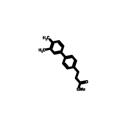 COC(=O)CCc1ccc(-c2ccc(C)c(C)c2)cc1